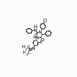 CN(C)/N=C1\C=CC(NC(=O)C(c2ccccc2)N(C(=O)Nc2ccccc2)c2ccc(Cl)cc2)C(F)=C1